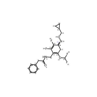 O=C(Cc1ccccc1)NCC1=C(OC(F)F)C/C(=N/OCC2CC2)C(F)=C1F